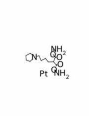 NOC(=O)C(CCCCN1CCCC1)C(=O)ON.[Pt]